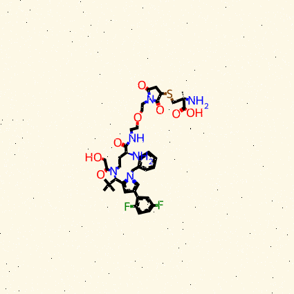 CC(C)(C)[C@H](c1cc(-c2cc(F)ccc2F)cn1Cc1ccccc1)N(CC[C@H](N)C(=O)NCCOCCN1C(=O)CC(SC[C@@](C)(N)C(=O)O)C1=O)C(=O)CO